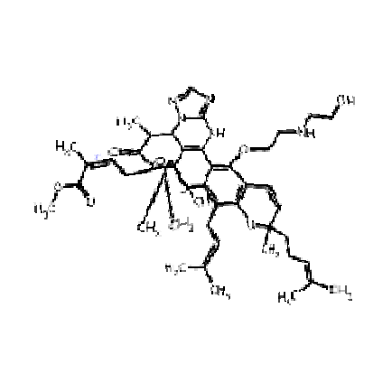 COC(=O)/C(C)=C\CC12OC(C)(C)C(C)C13Oc1c(CC=C(C)C)c4c(c(OCCNCCO)c1C1=C3C(C(C)C2=O)n2ncnc2N1)C=CC(C)(CCC=C(C)C)O4